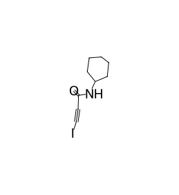 O=C(C#CI)NC1CCCCC1